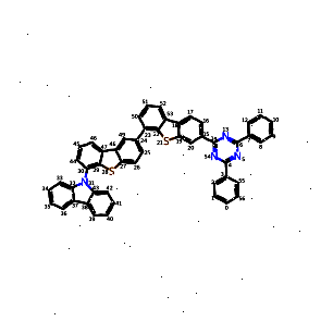 c1ccc(-c2nc(-c3ccccc3)nc(-c3ccc4c(c3)sc3c(-c5ccc6sc7c(-n8c9ccccc9c9ccccc98)cccc7c6c5)cccc34)n2)cc1